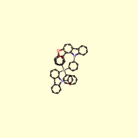 c1ccc(-n2c3ccccc3c3cccc([Si](c4ccccc4)(c4ccccc4)c4cccc(-n5c6ccccc6c6ccc7oc8ccccc8c7c65)c4)c32)cc1